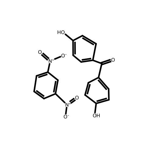 O=C(c1ccc(O)cc1)c1ccc(O)cc1.O=[N+]([O-])c1cccc([N+](=O)[O-])c1